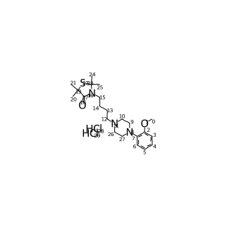 COc1ccccc1N1CCN(CCCCN2C(=O)C(C)(C)SC2(C)C)CC1.Cl.Cl